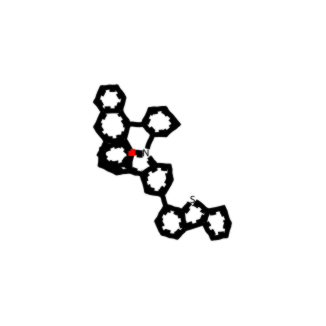 c1ccc(-n2c3ccccc3c3cc(-c4cccc5c4sc4ccccc45)ccc32)c(-c2c3ccccc3cc3ccccc23)c1